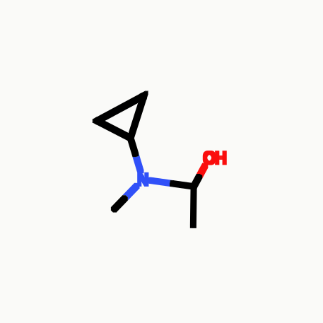 CC(O)N(C)C1CC1